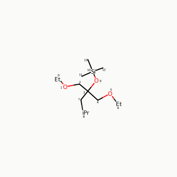 CCOCC(COCC)(CC(C)C)O[Si](C)(C)C